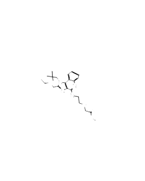 CCOCc1nc2c(NC(=O)COCC(=O)OC)nc3ccccc3c2n1CC(C)(C)C